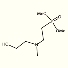 COP(=O)(CCN(C)CCO)OC